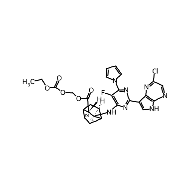 CCOC(=O)OCOC(=O)[C@H]1C2CCC(CC2)[C@@H]1Nc1nc(-c2c[nH]c3ncc(Cl)nc23)nc(-n2cccc2)c1F